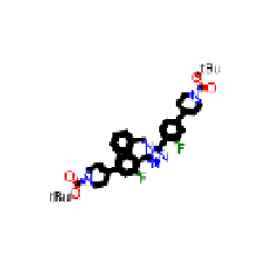 CC(C)(C)OC(=O)N1CC=C(c2ccc(-c3nnc(-c4ccc(C5=CCN(C(=O)OC(C)(C)C)CC5)cc4F)n3Cc3ccccc3)c(F)c2)CC1